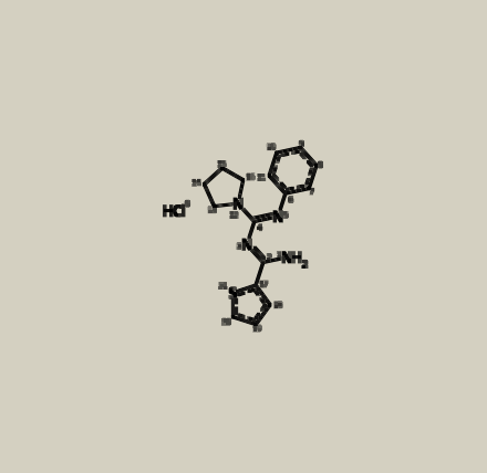 Cl.N/C(=N\C(=N\c1ccccc1)N1CCCC1)c1cccs1